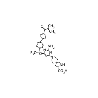 CN(C)C(=O)c1ccc(-c2ccc(C(Oc3cc(N4CCC5(CC4)CN[C@H](C(=O)O)C5)nc(N)n3)C(F)(F)F)cc2)cc1